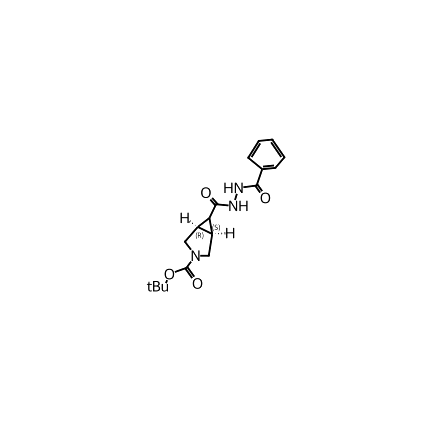 CC(C)(C)OC(=O)N1C[C@@H]2C(C(=O)NNC(=O)c3ccccc3)[C@@H]2C1